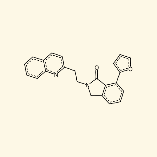 O=C1c2c(cccc2-c2ccco2)CN1CCc1ccc2ccccc2n1